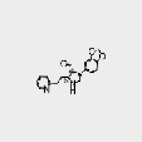 O=C[C@H]1[C@H](CCc2ccccn2)NC[C@@H]1c1ccc2c(c1)OCO2